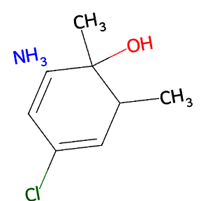 CC1C=C(Cl)C=CC1(C)O.N